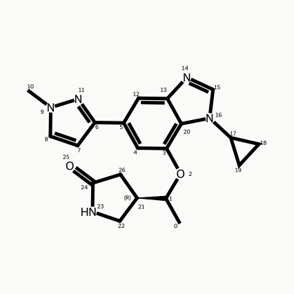 CC(Oc1cc(-c2ccn(C)n2)cc2ncn(C3CC3)c12)[C@H]1CNC(=O)C1